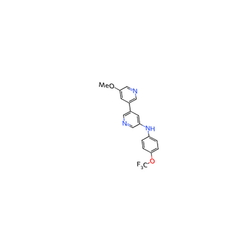 COc1cncc(-c2cncc(Nc3ccc(OC(F)(F)F)cc3)c2)c1